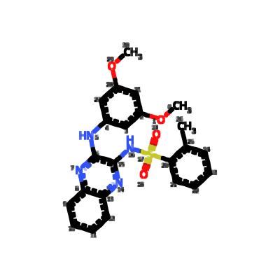 COc1cc(Nc2nc3ccccc3nc2NS(=O)(=O)c2ccccc2C)cc(OC)c1